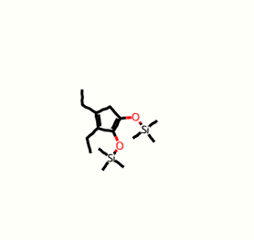 CCC1=C(CC)C(O[Si](C)(C)C)=C(O[Si](C)(C)C)C1